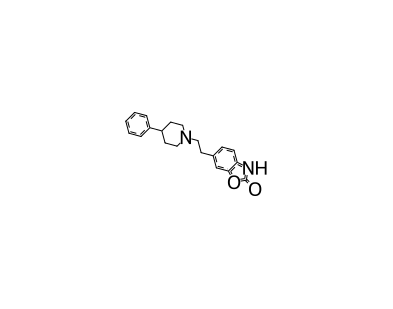 O=c1[nH]c2ccc(CCN3CCC(c4ccccc4)CC3)cc2o1